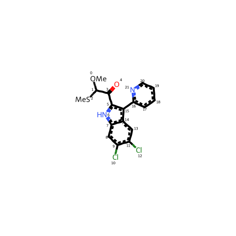 COC(SC)C(=O)c1[nH]c2cc(Cl)c(Cl)cc2c1-c1ccccn1